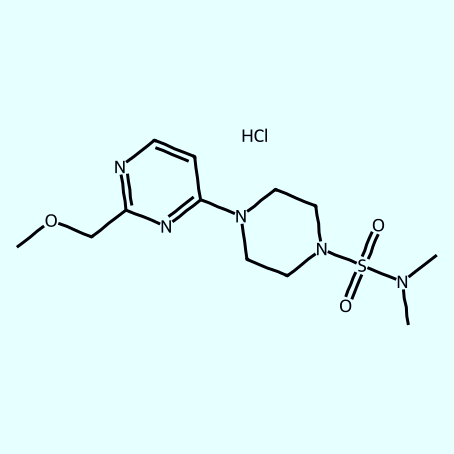 COCc1nccc(N2CCN(S(=O)(=O)N(C)C)CC2)n1.Cl